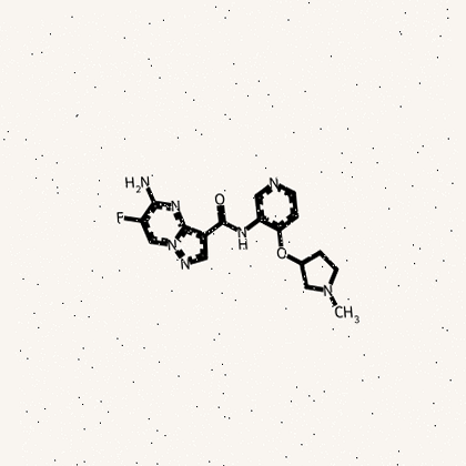 CN1CCC(Oc2ccncc2NC(=O)c2cnn3cc(F)c(N)nc23)C1